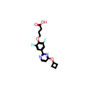 O=C(O)CCCOc1c(F)cc(-c2nccc(OC3CCC3)n2)cc1F